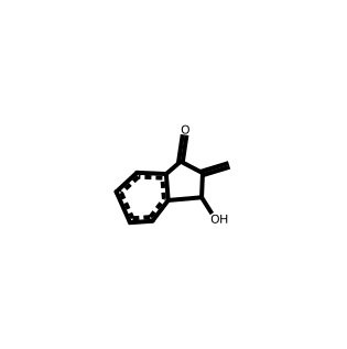 C=C1C(=O)c2ccccc2C1O